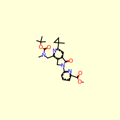 COC(=O)c1cccc(N2Cc3c(cc(C4(C)CC4)nc3CN(C)C(=O)OC(C)(C)C)C2=O)n1